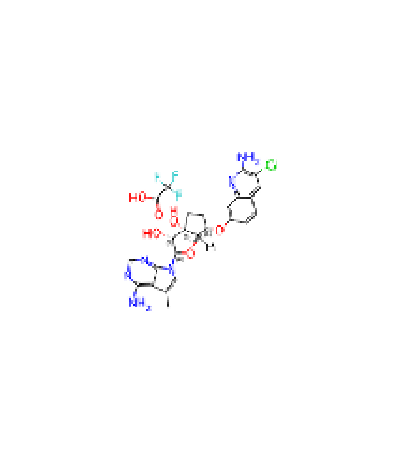 Cc1cn([C@@H]2O[C@@H]3[C@@H](Oc4ccc5cc(Cl)c(N)nc5c4)CC[C@]3(O)[C@H]2O)c2ncnc(N)c12.O=C(O)C(F)(F)F